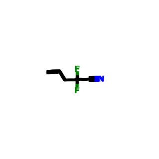 C=CCC(F)(F)C#N